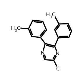 Cc1cccc(-c2ncc(Cl)nc2-c2cccc(C)c2)c1